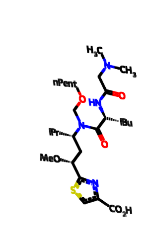 CCCCCOCN(C(=O)[C@@H](NC(=O)CN(C)C)[C@@H](C)CC)[C@H](C[C@@H](OC)c1nc(C(=O)O)cs1)C(C)C